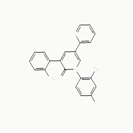 Cc1ccc(-n2cc(-c3ccccn3)cc(-c3ccccc3C#N)c2=O)c([N+](=O)[O-])c1